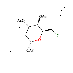 CC(=O)O[C@@H]1C[C@H](OC(C)=O)[C@@H](OC(C)=O)[C@@H](CCl)O1